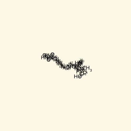 CCc1cccc2cc(O)cc(-c3ncc4c(N5CC6CCC(C5)N6)nc(OCC5(CN6CCC(CN7CC(N8CCN(c9ccc%10c(c9)CN(C9CCC(=O)NC9=O)C%10=O)CC8)C7)CC6)CC5)nc4c3F)c12